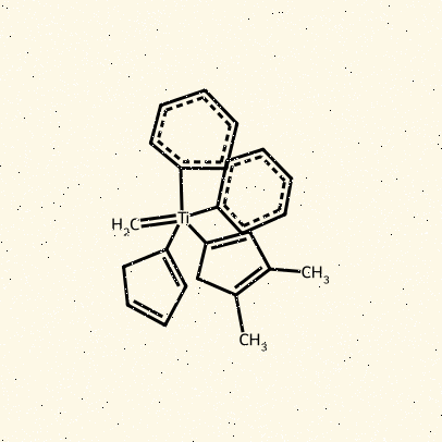 [CH2]=[Ti]([C]1=CC=CC1)([C]1=CC(C)=C(C)C1)([c]1ccccc1)[c]1ccccc1